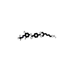 CCCCCC1COC(c2ccc(C(=O)Oc3cc(F)c(/C=C/C(F)(F)F)c(F)c3)cc2)OC1